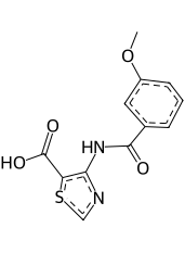 COc1cccc(C(=O)Nc2ncsc2C(=O)O)c1